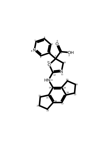 O=C(O)C1(c2cccnc2)CN=C(Nc2c3c(cc4c2CCC4)CCC3)O1